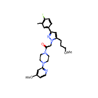 COCCCc1cc(-c2ccc(F)c(C)c2)nn1CC(=O)N1CCN(c2cc(OC)ccn2)CC1